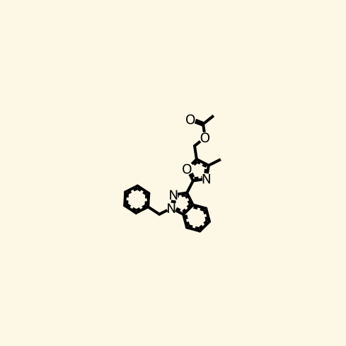 CC(=O)OCc1oc(-c2nn(Cc3ccccc3)c3ccccc23)nc1C